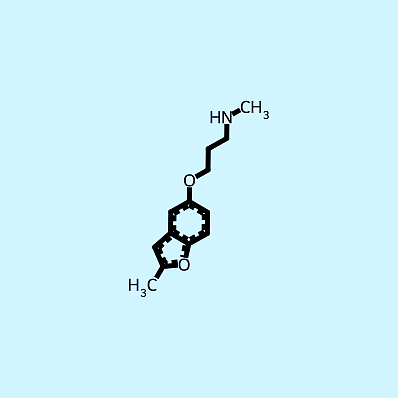 CNCCCOc1ccc2oc(C)cc2c1